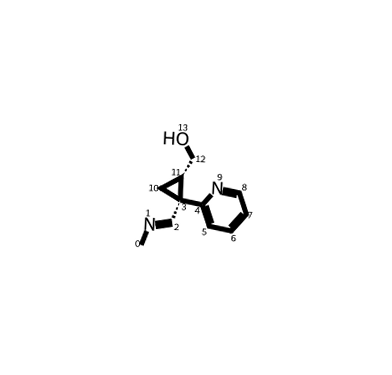 CN=C[C@]1(c2ccccn2)C[C@@H]1CO